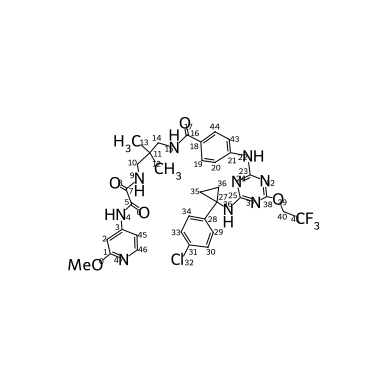 COc1cc(NC(=O)C(=O)NCC(C)(C)CNC(=O)c2ccc(Nc3nc(NC4(c5ccc(Cl)cc5)CC4)nc(OCC(F)(F)F)n3)cc2)ccn1